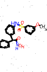 COc1cccc(S(=O)(=O)Nc2cccc(C(C(=O)NO)c3ccccc3)c2)c1